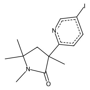 CN1C(=O)C(C)(c2ccc(I)cn2)CC1(C)C